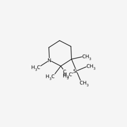 CN1CCCC(C)([Si](C)(C)C)C1(C)C